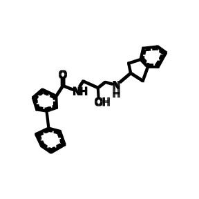 O=C(NCC(O)CNC1Cc2ccccc2C1)c1cccc(-c2ccccc2)c1